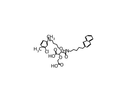 Cc1ccc(N(C)CCCCOC(C(=O)NCCCCCc2ccc3ccccc3c2)C(OCC(=O)O)C(=O)O)cc1Cl